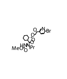 COC(=O)NN(C(=O)C1CCCC[C@@H]1C(=O)OCC(=O)c1ccc(Br)nc1)C(C)C